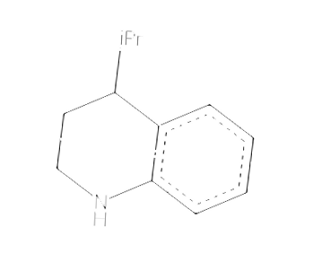 CC(C)C1CCNc2ccccc21